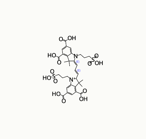 CC1(C)C(/C=C/C=C2/N(CCCS(=O)(=O)O)c3cc(C(=O)O)cc(C(=O)O)c3C2(C)C)=[N+](CCCS(=O)(=O)O)c2cc(C(=O)O)cc(C(=O)O)c21